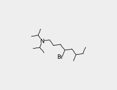 CCC(C)CC(Br)CCCN(C(C)C)C(C)C